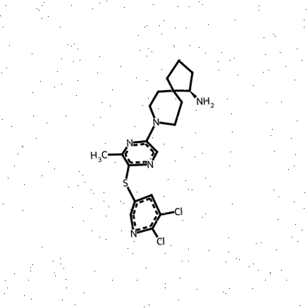 Cc1nc(N2CCC3(CCC[C@H]3N)CC2)cnc1Sc1cnc(Cl)c(Cl)c1